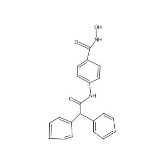 O=C(NO)c1ccc(NC(=O)C(c2ccccc2)c2ccccc2)cc1